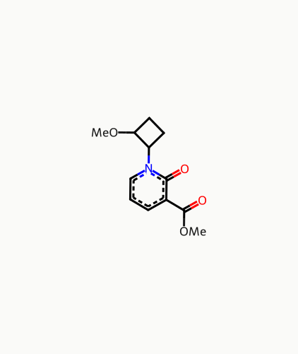 COC(=O)c1cccn(C2CCC2OC)c1=O